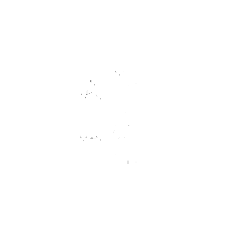 CNC1C(OC2C(OC3C(O)C(O)C(N)C(O)C3NC(=N)N)OC(C)C2(O)C=O)OC(CO)C(O)C1O